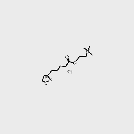 C[N+](C)(C)CCOC(=O)CCCC[C@@H]1CCSS1.[Cl-]